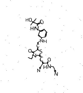 CCn1c(=C=C(C#N)C(=O)NCC#N)sc(=C=CNc2cccc(NC(=O)C(C)(C)O)c2)c1=O